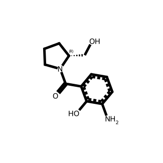 Nc1cccc(C(=O)N2CCC[C@@H]2CO)c1O